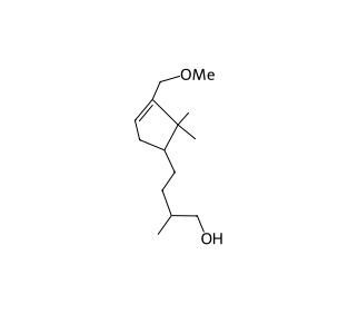 COCC1=CCC(CCC(C)CO)C1(C)C